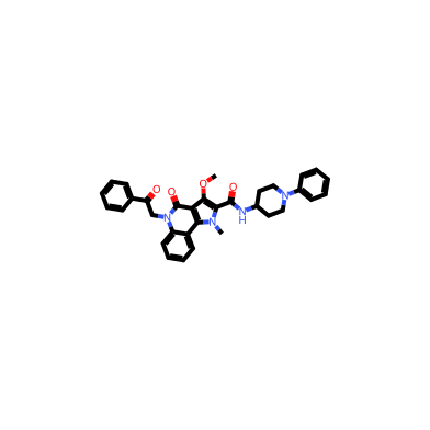 COc1c(C(=O)NC2CCN(c3ccccc3)CC2)n(C)c2c1c(=O)n(CC(=O)c1ccccc1)c1ccccc21